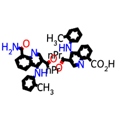 CCCC(=O)c1cnc2c(C(=O)O)cccc2c1Nc1ccccc1C.CCCC(=O)c1cnc2c(C(N)=O)cccc2c1Nc1ccccc1C